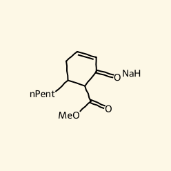 CCCCCC1CC=CC(=O)C1C(=O)OC.[NaH]